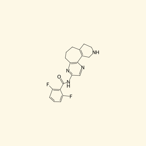 O=C(Nc1cnc2c(n1)CCCC1=C2CNCC1)c1c(F)cccc1F